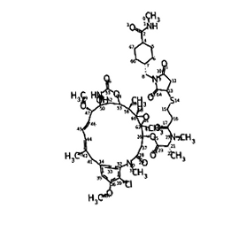 CNC(=O)[C@H]1CC[C@H](CN2C(=O)CC(SCCC(=O)N(C)[C@H](C)C(=O)O[C@H]3CC(=O)N(C)c4cc(cc(OC)c4Cl)C/C(C)=C/C=C/[C@@H](OC)[C@@]4(O)CC(OC(=O)N4)[C@@H](C)[C@@H]4OC34C)C2=O)CC1